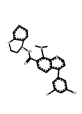 CN(C)c1c(C(=O)N[C@H]2CCOc3ccccc32)ccc2c(-c3cc(Cl)cc(Cl)c3)ccnc12